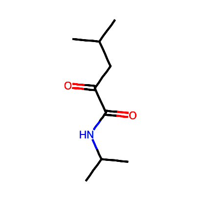 CC(C)CC(=O)C(=O)NC(C)C